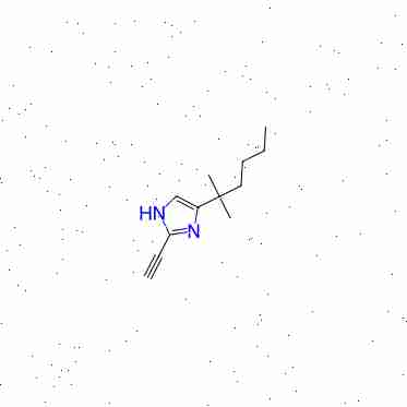 C#Cc1nc(C(C)(C)CCCC)c[nH]1